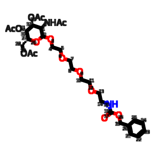 CC(=O)N[C@H]1C(OCCOCCOCCOCCNC(=O)OCc2ccccc2)O[C@H](COC(C)=O)[C@H](OC(C)=O)[C@@H]1OC(C)=O